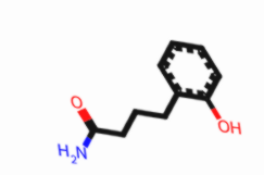 NC(=O)CCCc1ccccc1O